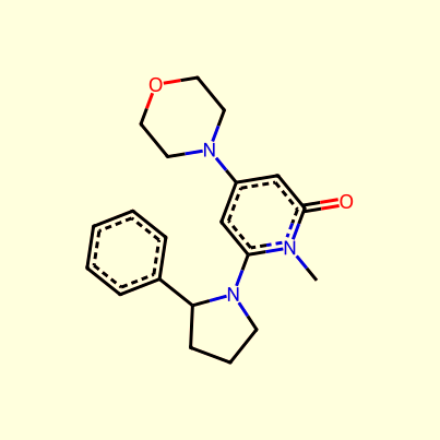 Cn1c(N2CCCC2c2ccccc2)cc(N2CCOCC2)cc1=O